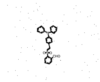 O=Cc1ccccc1S(=O)(=O)C=Cc1ccc(N(c2ccccc2)c2ccccc2)cc1